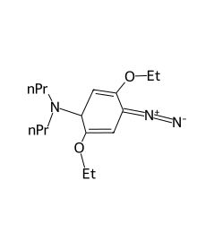 CCCN(CCC)C1C=C(OCC)C(=[N+]=[N-])C=C1OCC